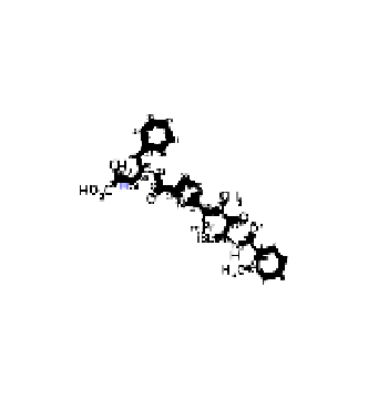 CC[C@H](C)[C@H](NC(=O)[C@H]1CCCCN1C)C(=O)N(C)[C@H](c1nc(C(=O)C[C@H](/C=C(\C)C(=O)O)Cc2ccccc2)cs1)C(C)C